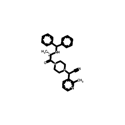 Cc1ncccc1C(C#N)N1CCN(C(=O)[C@H](C)NC(c2ccccc2)c2ccccc2)CC1